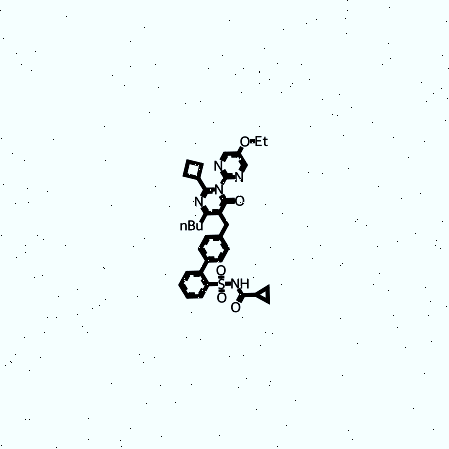 CCCCc1nc(C2CCC2)n(-c2ncc(OCC)cn2)c(=O)c1Cc1ccc(-c2ccccc2S(=O)(=O)NC(=O)C2CC2)cc1